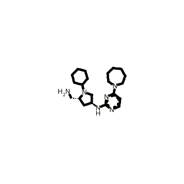 NC[C@H]1C[C@H](Nc2nccc(N3CCCCCC3)n2)CN1C1CCCCC1